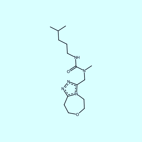 CC(C)CCCNC(=O)N(C)Cc1nnc2n1CCOCC2